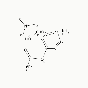 CCCC(=O)Oc1ccccc1.CN(C)C.N.O=CO